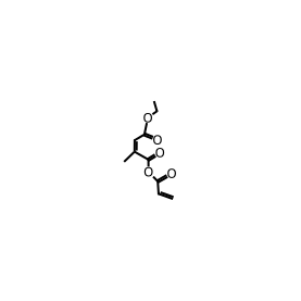 C=CC(=O)OC(=O)/C(C)=C\C(=O)OCC